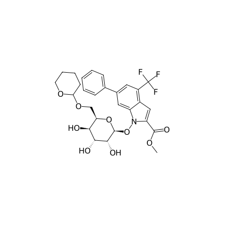 COC(=O)c1cc2c(C(F)(F)F)cc(-c3ccccc3)cc2n1O[C@@H]1O[C@H](COC2CCCCO2)[C@H](O)[C@@H](O)[C@H]1O